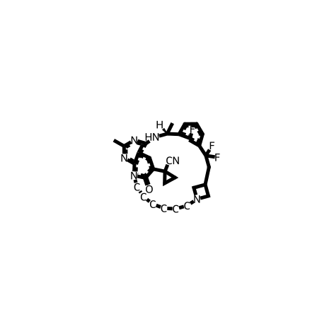 Cc1nc2c3cc(C4(C#N)CC4)c(=O)n(c3n1)CCCCCCN1CC(C1)CC(F)(F)c1cccc(c1F)[C@@H](C)N2